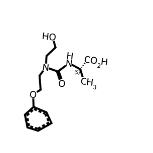 C[C@H](NC(=O)N(CCO)CCOc1ccccc1)C(=O)O